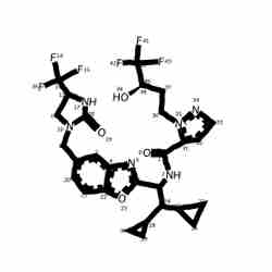 O=C(NC(c1nc2cc(CN3CC(C(F)(F)F)NC3=O)ccc2o1)C(C1CC1)C1CC1)c1ccnn1CC[C@@H](O)C(F)(F)F